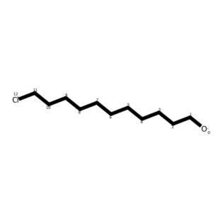 [O]CCCCCCCCCCCCl